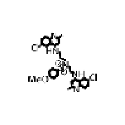 COc1ccc(S(=O)(=O)N(CCCNc2cc(C)nc3ccc(Cl)cc23)CCNc2cc(C)nc3ccc(Cl)cc23)cc1